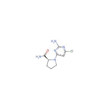 NC(=O)[C@@H]1CCCN1c1cc(Cl)nc(N)n1